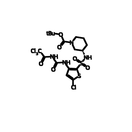 CC(C)(C)OC(=O)N1CCC[C@H](NS(=O)(=O)c2sc(Cl)cc2NC(=O)NC(=O)C(Cl)(Cl)Cl)C1